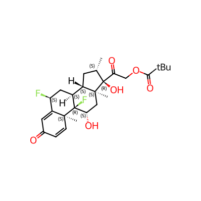 C[C@H]1C[C@H]2[C@@H]3C[C@H](F)C4=CC(=O)C=C[C@]4(C)[C@@]3(F)[C@@H](O)C[C@]2(C)[C@@]1(O)C(=O)COC(=O)C(C)(C)C